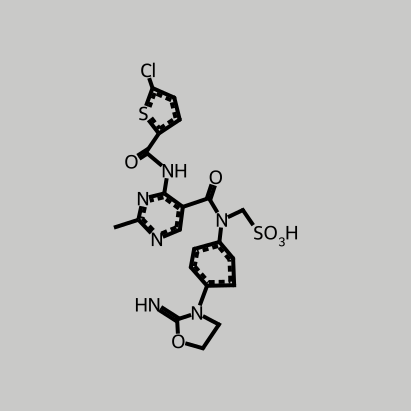 Cc1ncc(C(=O)N(CS(=O)(=O)O)c2ccc(N3CCOC3=N)cc2)c(NC(=O)c2ccc(Cl)s2)n1